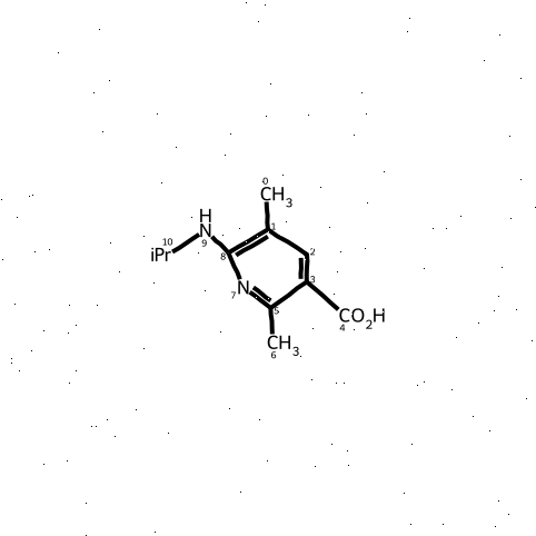 Cc1cc(C(=O)O)c(C)nc1NC(C)C